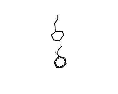 CCC[C@H]1CC[C@H](COc2cc[c]cc2)CC1